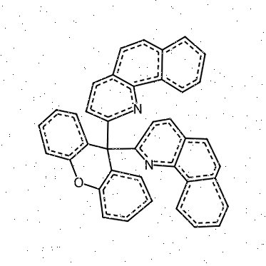 c1ccc2c(c1)Oc1ccccc1C2(c1ccc2ccc3ccccc3c2n1)c1ccc2ccc3ccccc3c2n1